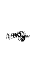 CC(C)CC(CNCC(=O)OC(C)(C)C)NC(=O)C1CCCN1C(=O)O